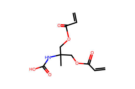 C=CC(=O)OCC(C)(COC(=O)C=C)NC(=O)O